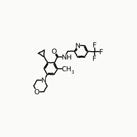 Cc1cc(N2CCOCC2)cc(C2CC2)c1C(=O)NCc1ccc(C(F)(F)F)cn1